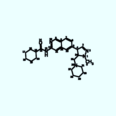 CN1N=CC(c2ccc3cnc(NC(=O)C4CCCCC4)cc3c2)C1CN1CCCCC1